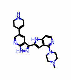 CN1CCN(c2nccc3[nH]c(-c4n[nH]c5ncc(C6=CCNCC6)cc45)cc23)CC1